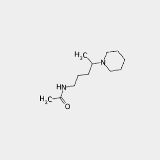 CC(=O)NCCCC(C)N1CCCCC1